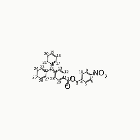 O=C(OCc1ccc([N+](=O)[O-])cc1)c1ccc([C](c2ccccc2)c2ccccc2)cc1